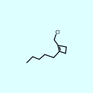 CCCCCC1=C(CCl)CC1